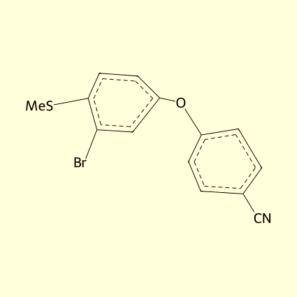 CSc1ccc(Oc2ccc(C#N)cc2)cc1Br